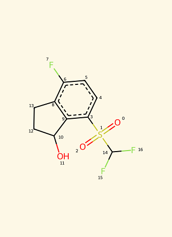 O=S(=O)(c1ccc(F)c2c1C(O)CC2)C(F)F